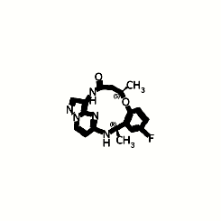 C[C@H]1CC(=O)Nc2cnn3ccc(nc23)N[C@H](C)c2cc(F)ccc2O1